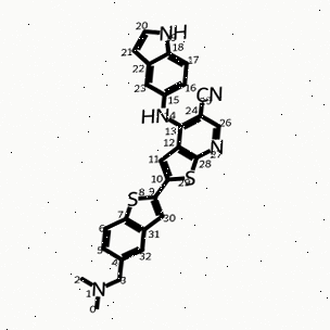 CN(C)Cc1ccc2sc(-c3cc4c(Nc5ccc6[nH]ccc6c5)c(C#N)cnc4s3)cc2c1